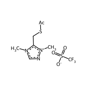 CC(=O)SCc1n(C)cn[n+]1C.O=S(=O)([O-])C(F)(F)F